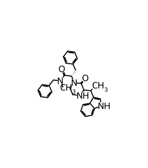 CC(c1c[nH]c2ccccc12)C1NCCN([C@@H](Cc2ccccc2)C(=O)N(C)Cc2ccccc2)C1=O